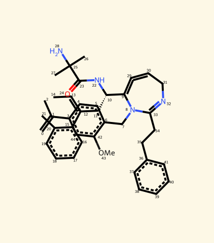 C=C(C)c1ccc(CN2C([C@H](C/C(=C/C)c3ccccc3C)NC(=O)C(C)(C)N)=C=CCN=C2CCc2ccccc2)c(OC)c1